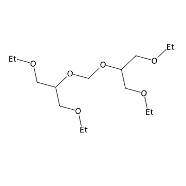 CCOCC(COCC)OCOC(COCC)COCC